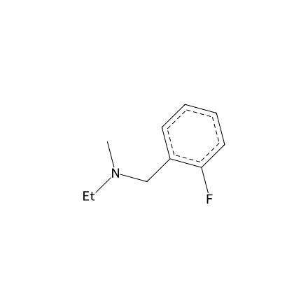 CCN(C)Cc1ccccc1F